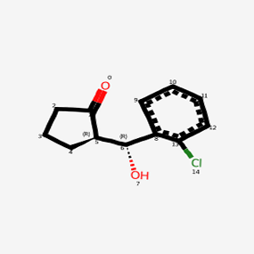 O=C1CCC[C@@H]1[C@@H](O)c1ccccc1Cl